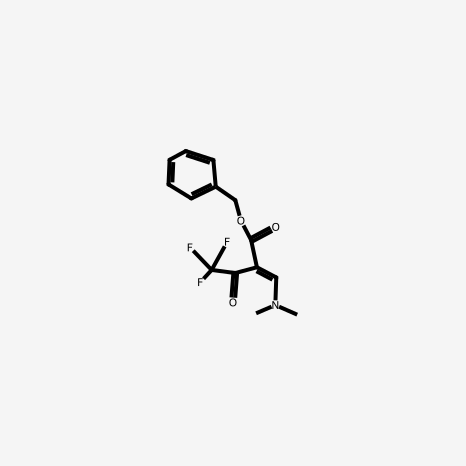 CN(C)C=C(C(=O)OCc1ccccc1)C(=O)C(F)(F)F